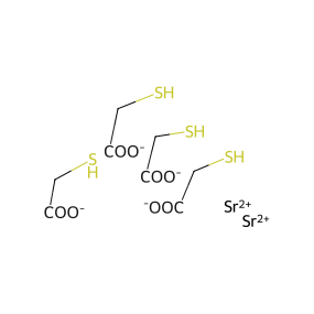 O=C([O-])CS.O=C([O-])CS.O=C([O-])CS.O=C([O-])CS.[Sr+2].[Sr+2]